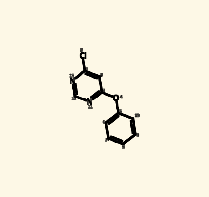 Clc1cc(Oc2c[c]ccc2)ncn1